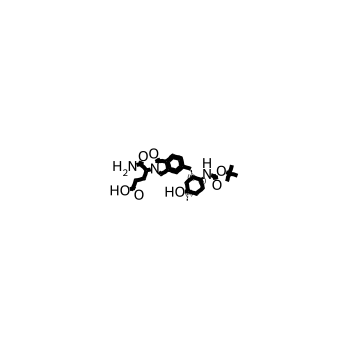 CC(C)(C)OC(=O)N[C@H]1CC[C@@](C)(O)C[C@@H]1Cc1ccc2c(c1)CN(C(CCC(=O)O)C(N)=O)C2=O